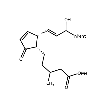 CCCCCC(O)/C=C/[C@H]1C=CC(=O)[C@H]1CCC(C)CC(=O)OC